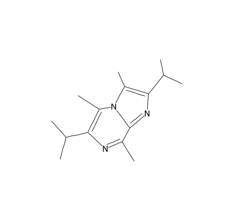 Cc1nc(C(C)C)c(C)n2c(C)c(C(C)C)nc12